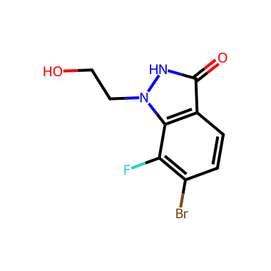 O=c1[nH]n(CCO)c2c(F)c(Br)ccc12